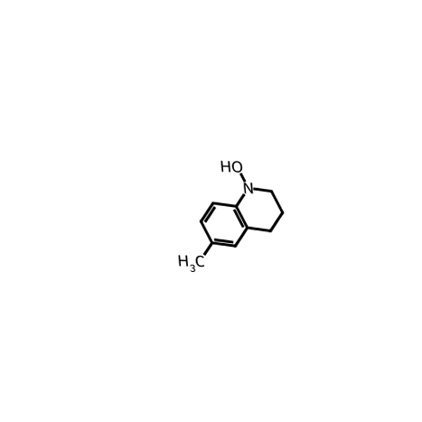 Cc1ccc2c(c1)CCCN2O